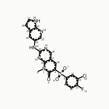 Cn1c(=O)c(S(=O)(=O)c2ccc(F)c(Cl)c2)cc2cnc(Nc3cnc4[nH]ccc4c3)nc21